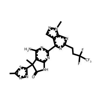 Cc1nnc(C2(C)C(=O)Nc3nc(-c4nc(CCC(F)(F)C(F)(F)F)nc5c4cnn5C)nc(N)c32)s1